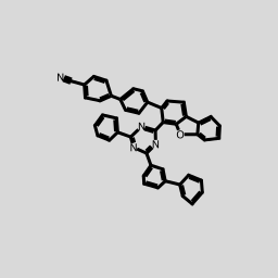 N#Cc1ccc(-c2ccc(-c3ccc4c(oc5ccccc54)c3-c3nc(-c4ccccc4)nc(-c4cccc(-c5ccccc5)c4)n3)cc2)cc1